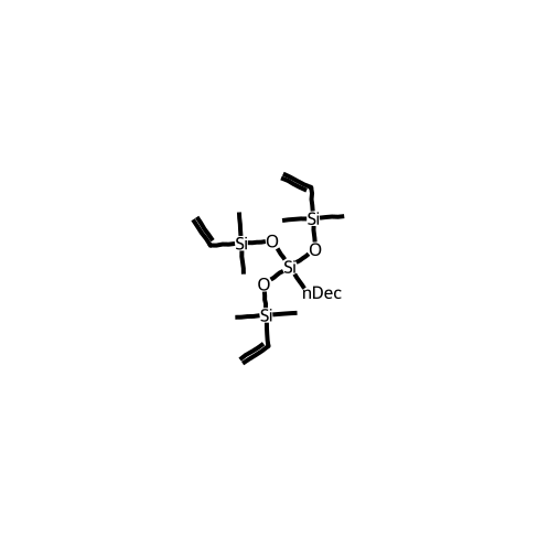 C=C[Si](C)(C)O[Si](CCCCCCCCCC)(O[Si](C)(C)C=C)O[Si](C)(C)C=C